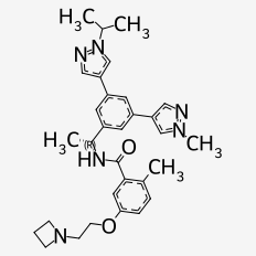 Cc1ccc(OCCN2CCC2)cc1C(=O)N[C@H](C)c1cc(-c2cnn(C)c2)cc(-c2cnn(C(C)C)c2)c1